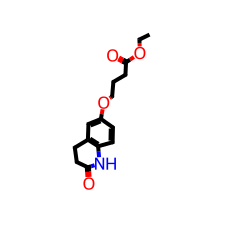 CCOC(=O)CCCOc1ccc2c(c1)CCC(=O)N2